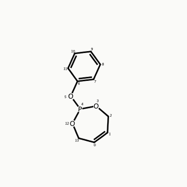 C1=CCOP(Oc2ccccc2)OC1